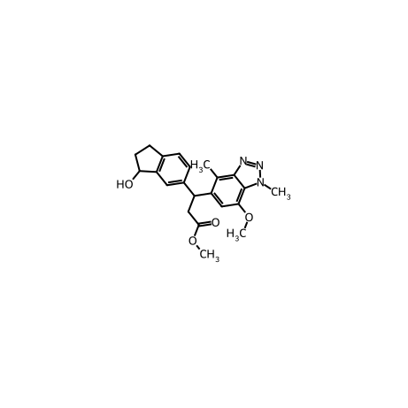 COC(=O)CC(c1ccc2c(c1)C(O)CC2)c1cc(OC)c2c(nnn2C)c1C